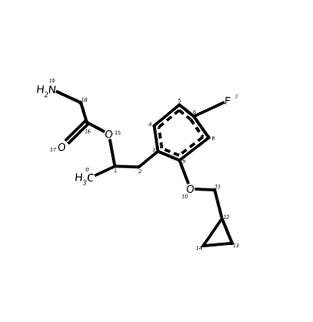 CC(Cc1ccc(F)cc1OCC1CC1)OC(=O)CN